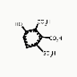 O=C(O)c1c(S(=O)(=O)O)[c]cc(O)c1C(=O)O